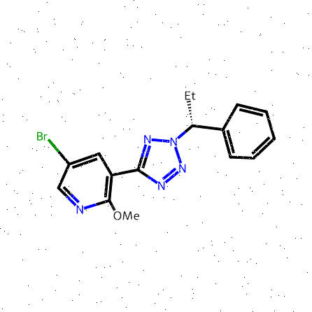 CC[C@H](c1ccccc1)n1nnc(-c2cc(Br)cnc2OC)n1